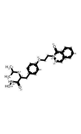 CC(C)SC(Cc1ccc(OCCn2ncc3ccccc3c2=O)cc1)C(=O)NO